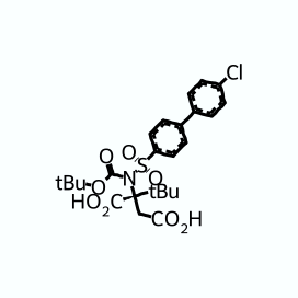 CC(C)(C)OC(=O)N([C@](CC(=O)O)(C(=O)O)C(C)(C)C)S(=O)(=O)c1ccc(-c2ccc(Cl)cc2)cc1